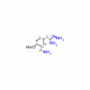 COc1ccc(C/C(N)=N/N)cc1CN